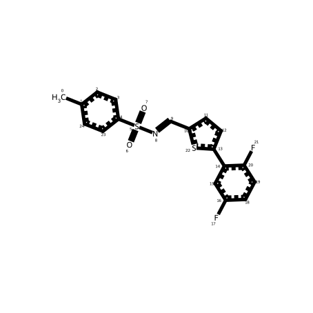 Cc1ccc(S(=O)(=O)N=Cc2ccc(-c3cc(F)ccc3F)s2)cc1